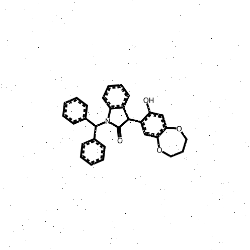 O=C1C(c2cc3c(cc2O)OCCCO3)c2ccccc2N1C(c1ccccc1)c1ccccc1